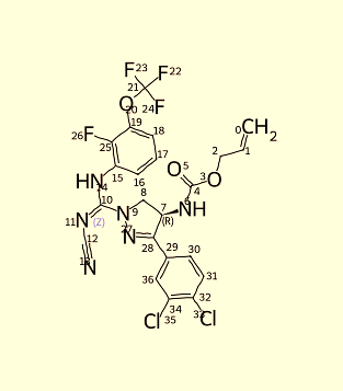 C=CCOC(=O)N[C@@H]1CN(/C(=N\C#N)Nc2cccc(OC(F)(F)F)c2F)N=C1c1ccc(Cl)c(Cl)c1